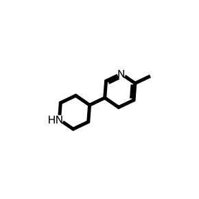 CC1=CCC(C2CCNCC2)C=N1